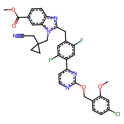 COC(=O)c1ccc2nc(Cc3cc(F)c(-c4ccnc(OCc5ccc(Cl)cc5OC)n4)cc3F)n(CC3(CC#N)CC3)c2c1